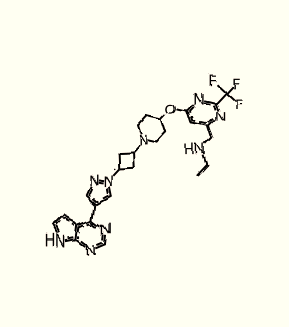 CCNCc1cc(OC2CCN(C3C[C](n4cc(-c5ncnc6[nH]ccc56)cn4)C3)CC2)nc(C(F)(F)F)n1